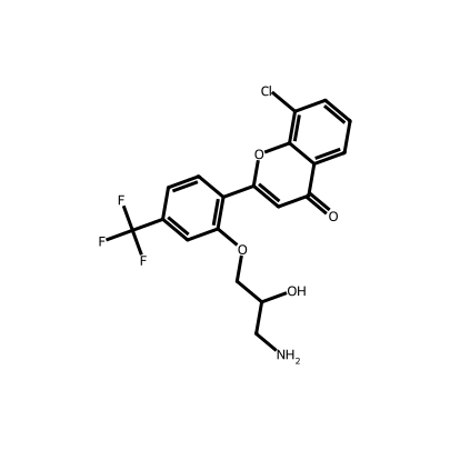 NCC(O)COc1cc(C(F)(F)F)ccc1-c1cc(=O)c2cccc(Cl)c2o1